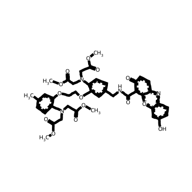 COC(=O)CN(CC(=O)OC)c1ccc(C)cc1OCCOc1cc(CNC(=O)c2c3oc4cc(O)ccc4nc-3ccc2=O)ccc1N(CC(=O)OC)CC(=O)OC